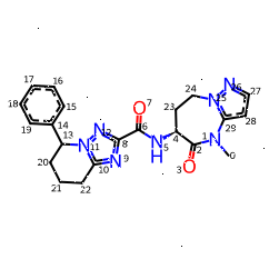 CN1C(=O)[C@@H](NC(=O)c2nc3n(n2)C(c2ccccc2)CCC3)CCn2nccc21